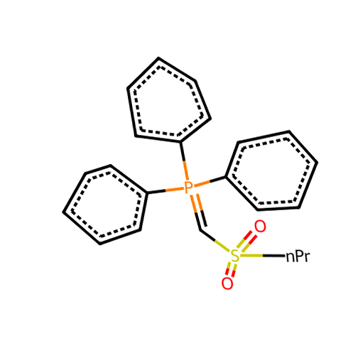 CCCS(=O)(=O)C=P(c1ccccc1)(c1ccccc1)c1ccccc1